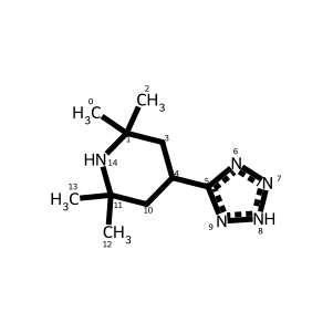 CC1(C)CC(c2nn[nH]n2)CC(C)(C)N1